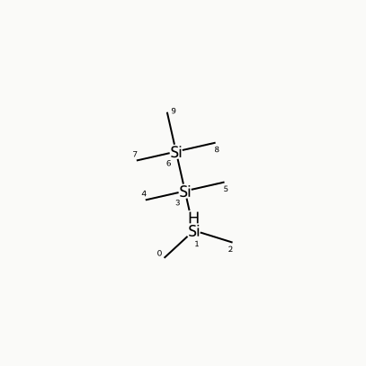 C[SiH](C)[Si](C)(C)[Si](C)(C)C